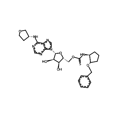 O[C@@H]1[C@H](O)[C@@H](COC(=S)N[C@H]2CCC[C@@H]2OCc2ccccc2)O[C@H]1n1cnc2c(N[C@@H]3CCOC3)ncnc21